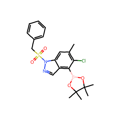 Cc1cc2c(cnn2S(=O)(=O)Cc2ccccc2)c(B2OC(C)(C)C(C)(C)O2)c1Cl